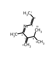 C=C(/C(C)=N\C=C/C)C(C)C